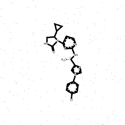 C[C@H](Nc1nccc(N2C(=O)NCC2C2CC2)n1)c1cn(-c2ccc(Cl)cc2)cn1